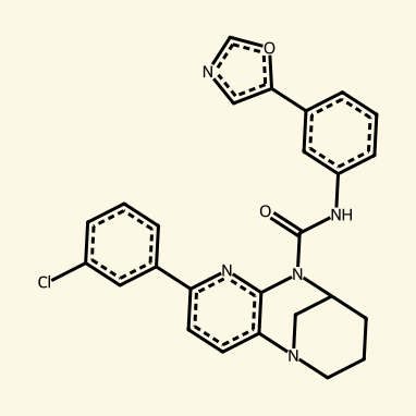 O=C(Nc1cccc(-c2cnco2)c1)N1c2nc(-c3cccc(Cl)c3)ccc2N2CCCC1C2